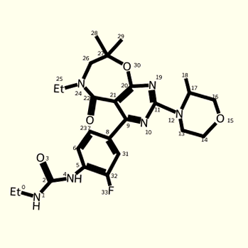 CCNC(=O)Nc1ccc(-c2nc(N3CCOCC3C)nc3c2C(=O)N(CC)CC(C)(C)O3)cc1F